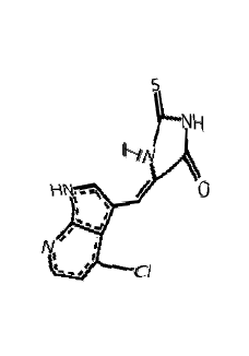 O=C1NC(=S)NC1=Cc1c[nH]c2nccc(Cl)c12